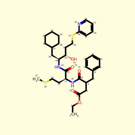 CCOC(=O)CC(Cc1ccccc1)C(=O)N[C@@H](CCSC)C(=O)N[C@@H](CC1CCCCC1)[C@@H](O)CCSc1ccccn1